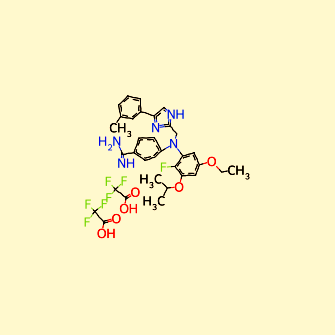 CCOc1cc(OC(C)C)c(F)c(N(Cc2nc(-c3cccc(C)c3)c[nH]2)c2ccc(C(=N)N)cc2)c1.O=C(O)C(F)(F)F.O=C(O)C(F)(F)F